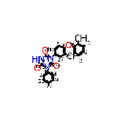 Cc1ccccc1Oc1ccc(-n2c(=O)[nH]c(=O)n(-c3ccccc3)c2=O)cc1C